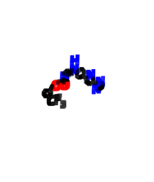 O=C(COCc1cccc(C(F)(F)F)c1)N1CC[C@H](NC2CC=C(c3ccc(-c4ncccn4)cn3)CC2)C1